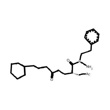 CC(=O)C[C@H](CCC(=O)CCCC1CCCCC1)C(=O)N(N)CCc1ccccc1